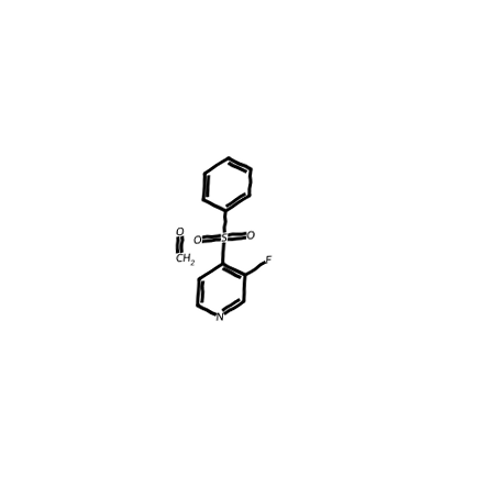 C=O.O=S(=O)(c1ccccc1)c1ccncc1F